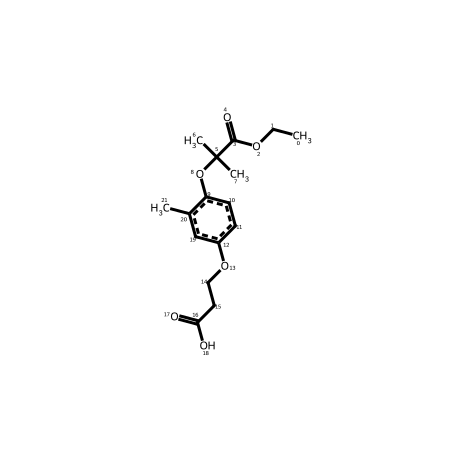 CCOC(=O)C(C)(C)Oc1ccc(OCCC(=O)O)cc1C